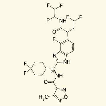 Cc1nonc1C(=O)N[C@H](c1nc2c(F)c(C(CC(F)F)C(=O)NC(F)C(F)F)ccc2[nH]1)C1CCC(F)(F)CC1